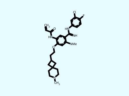 C=CC(=O)Nc1cc(C(=N)Nc2ccc(F)c(Cl)c2)c(NC)cc1OCCC1CC2(CCN(C)CC2)C1